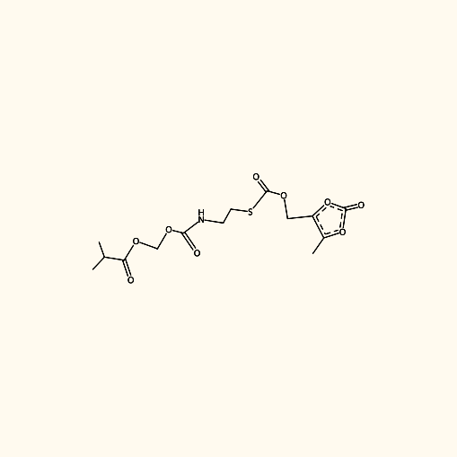 Cc1oc(=O)oc1COC(=O)SCCNC(=O)OCOC(=O)C(C)C